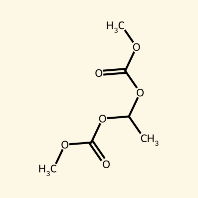 COC(=O)OC(C)OC(=O)OC